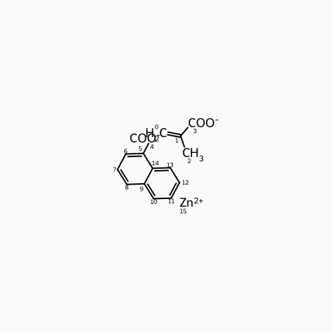 C=C(C)C(=O)[O-].O=C([O-])c1cccc2ccccc12.[Zn+2]